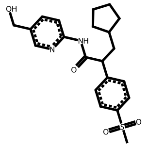 CS(=O)(=O)c1ccc(C(CC2CCCC2)C(=O)Nc2ccc(CO)cn2)cc1